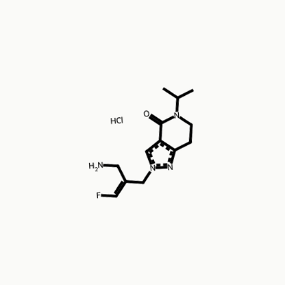 CC(C)N1CCc2nn(C/C(=C/F)CN)cc2C1=O.Cl